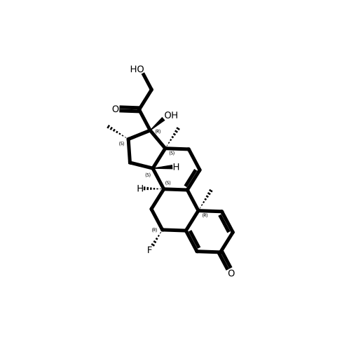 C[C@H]1C[C@H]2[C@@H]3C[C@@H](F)C4=CC(=O)C=C[C@]4(C)C3=CC[C@]2(C)[C@@]1(O)C(=O)CO